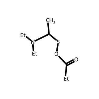 CCC(=O)OSC(C)N(CC)CC